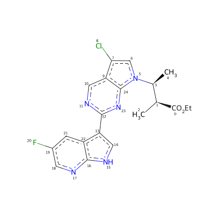 CCOC(=O)[C@@H](C)[C@H](C)n1cc(Cl)c2cnc(-c3c[nH]c4ncc(F)cc34)nc21